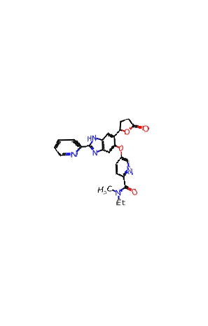 CCN(C)C(=O)c1ccc(Oc2cc3nc(-c4ccccn4)[nH]c3cc2C2CCC(=O)O2)cn1